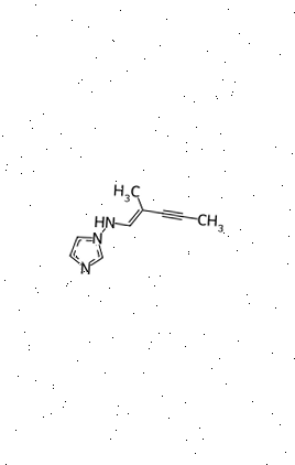 CC#C/C(C)=C/Nn1ccnc1